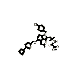 CC1Cc2c(OCc3ccc(-c4ccccc4)cn3)ccc3c2c(c(CC(C)(C)NC(=O)C(=O)O)n3Cc2ccc(Cl)cc2)S1